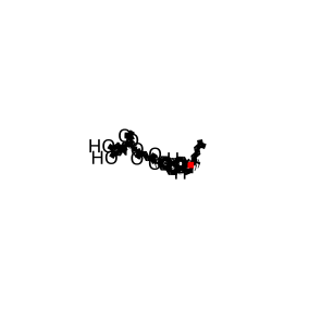 CC(=O)O[C@H](COC(=O)CCC(=O)O[C@H]1CC[C@@]2(C)C(=CC[C@H]3[C@@H]4CC[C@H]([C@H](C)CCCC(C)C)[C@@]4(C)CC[C@@H]32)C1)C[N+](C)(CCO)CCO